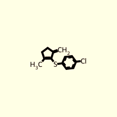 C=C1CCC(C)=C1Sc1ccc(Cl)cc1